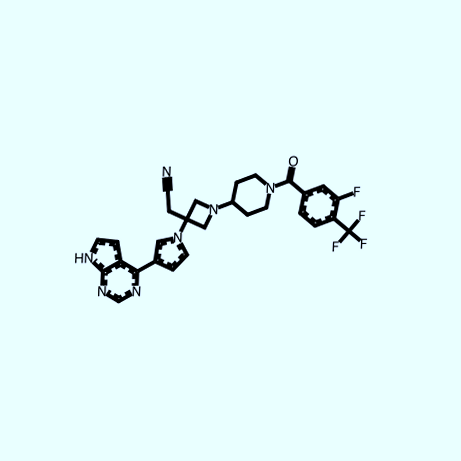 N#CCC1(n2ccc(-c3ncnc4[nH]ccc34)c2)CN(C2CCN(C(=O)c3ccc(C(F)(F)F)c(F)c3)CC2)C1